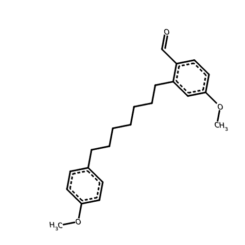 COc1ccc(CCCCCCCc2cc(OC)ccc2C=O)cc1